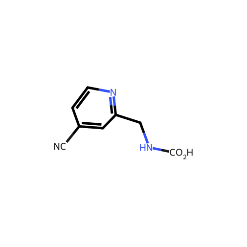 N#Cc1ccnc(CNC(=O)O)c1